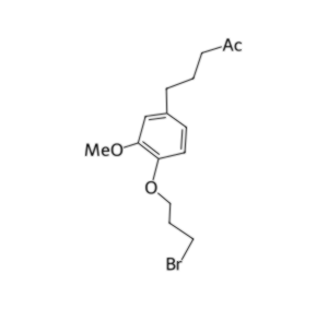 COc1cc(CCCC(C)=O)ccc1OCCCBr